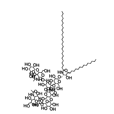 CCCCCCCCCCCCC/C=C/[C@@H](O)[C@H](CO[C@@H]1OC(CO)[C@@H](O[C@@H]2OC(CO[C@@H]3OC(CO)[C@@H](O[C@@H]4OC(CO)[C@H](O)[C@H](O)C4O)[C@H](O)C3NC(C)=O)[C@H](O)[C@H](O[C@@H]3OC(CO)[C@@H](O[C@@H]4OC(CO[C@]5(C(=O)O)CC(O)[C@@H](NC(C)=O)C([C@H](O)[C@H](O)CO)O5)[C@H](O)[C@H](O)C4O)[C@H](O)C3NC(C)=O)C2O)[C@H](O)C1O)NC(=O)CCCCCCCCCCCCCCCCCCCCCCCCC